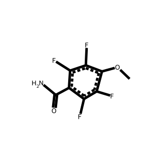 COc1c(F)c(F)c(C(N)=O)c(F)c1F